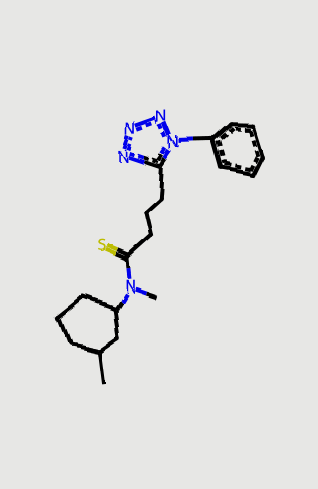 CC1CCCC(N(C)C(=S)CCCc2nnnn2-c2ccccc2)C1